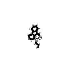 CCCOc1cccc2c1C(C=O)c1ccccc1-2